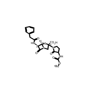 CC(C)(C)OC(=O)NC1CCN([C@]2(C(=O)O)CN3C(=O)[C@@H](NC(=O)Cc4ccccc4)[C@H]3S2)C1=O